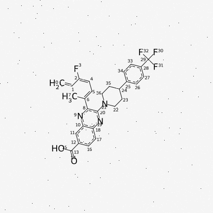 C=C/C(F)=C\C=C(/C)c1nc2cc(C(=O)O)ccc2nc1N1CCC(c2ccc(C(F)(F)F)cc2)CC1